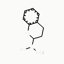 OB(O)C1CCc2ccccc2O1